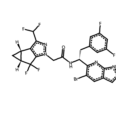 O=C(Cn1nc(C(F)F)c2c1C(F)(F)[C@@H]1C[C@H]21)N[C@H](Cc1cc(F)cc(F)c1)c1nc2[nH]ccc2cc1Br